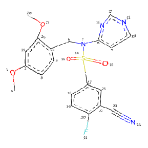 COc1ccc(CN(c2ccncn2)S(=O)(=O)c2ccc(F)c(C#N)c2)c(OC)c1